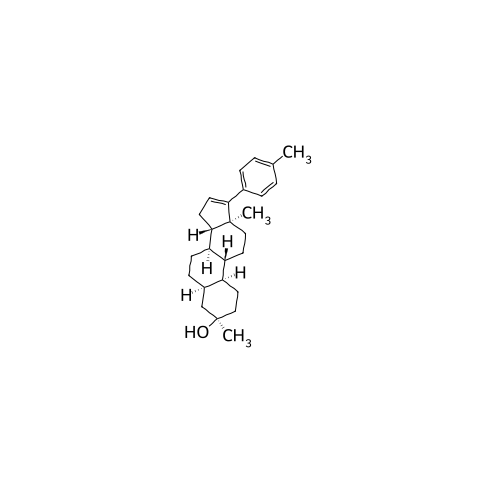 Cc1ccc(C2=CC[C@H]3[C@@H]4CC[C@@H]5C[C@](C)(O)CC[C@@H]5[C@H]4CC[C@]23C)cc1